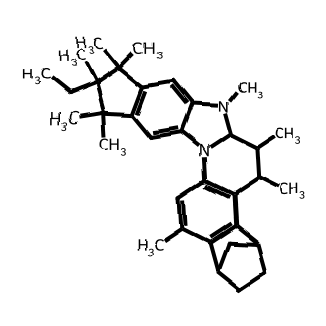 CCC1(C)C(C)(C)c2cc3c(cc2C1(C)C)N1c2cc(C)c4c(c2C(C)C(C)C1N3C)C1CCC4C1